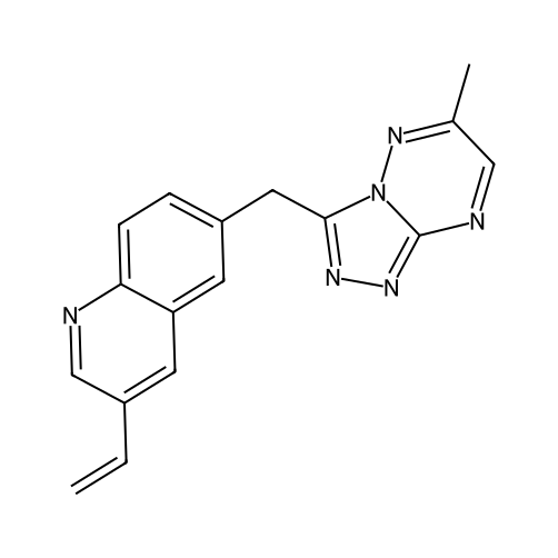 C=Cc1cnc2ccc(Cc3nnc4ncc(C)nn34)cc2c1